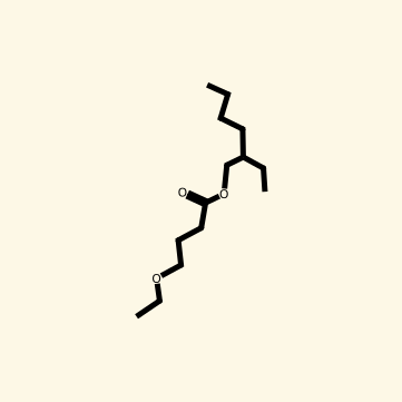 CCCCC(CC)COC(=O)CCCOCC